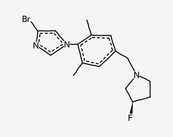 Cc1cc(CN2CC[C@@H](F)C2)cc(C)c1-n1cnc(Br)c1